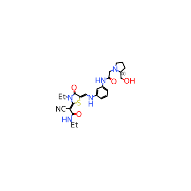 CCNC(=O)C(C#N)=c1sc(=CNc2cccc(NC(=O)CN3CCC[C@H]3CO)c2)c(=O)n1CC